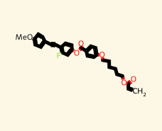 C=CC(=O)OCCCCCCOc1ccc(C(=O)Oc2ccc(C#Cc3ccc(OC)cc3)c(F)c2)cc1